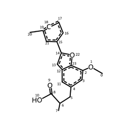 COc1cc(CC(C)C(=O)O)cc2cc(-c3cccc(C)c3)oc12